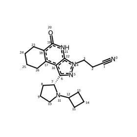 N#CCCn1nc([C@H]2CCCN2C2CCC2)c2c3c(c(=O)[nH]c21)CCCC3